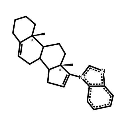 C[C@]12CCCCC1=CCC1C2CC[C@]2(C)C(n3cnc4ccccc43)=CCC12